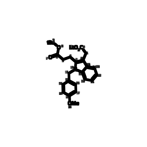 CCOC(=O)Cc1c(CCC(=O)OC(C)(C)C)n(Cc2ccc(OC)cc2)c2cccnc12